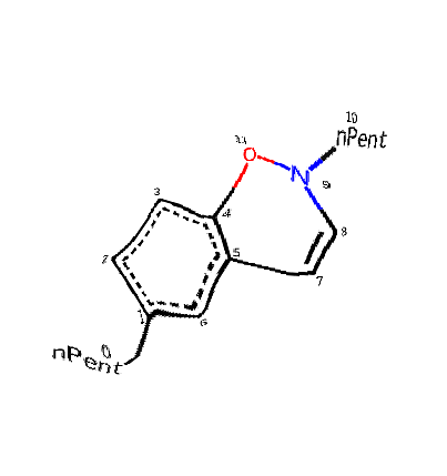 CCCCCc1ccc2c(c1)C=CN(CCCCC)O2